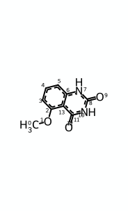 COc1cccc2[nH]c(=O)[nH]c(=O)c12